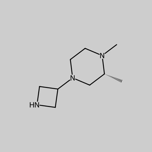 C[C@@H]1CN(C2CNC2)CCN1C